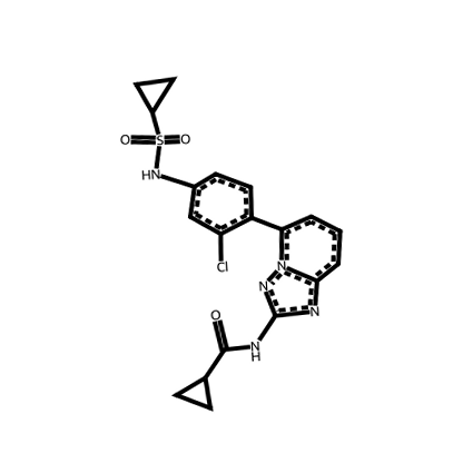 O=C(Nc1nc2cccc(-c3ccc(NS(=O)(=O)C4CC4)cc3Cl)n2n1)C1CC1